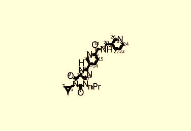 CCCn1c(=O)n(C2CC2)c(=O)c2[nH]c(-c3ccc(C(=O)NCc4cccnc4)nc3)nc21